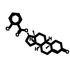 C[C@]12CC[C@H]3[C@@H](CCC4=CC(=O)CC[C@@]43C)[C@@H]1CC[C@@H]2OC(=O)c1ccccc1Cl